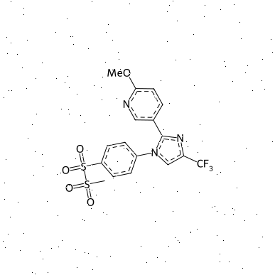 COc1ccc(-c2nc(C(F)(F)F)cn2-c2ccc(S(=O)(=O)S(C)(=O)=O)cc2)cn1